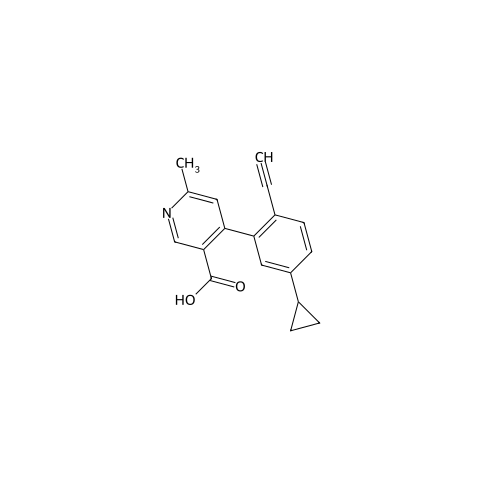 C#Cc1ccc(C2CC2)cc1-c1cc(C)ncc1C(=O)O